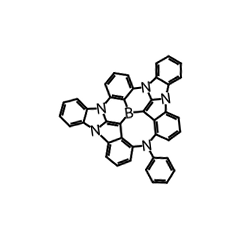 c1ccc(N2c3cccc4c3c3c5n(c6ccccc6n45)-c4cccc5c4B3c3c4c2cccc4n2c4ccccc4n-5c32)cc1